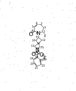 CC1CCC=CC(=O)N1C1CC2(C1)CN(S(=O)(=O)c1ccccc1F)C2